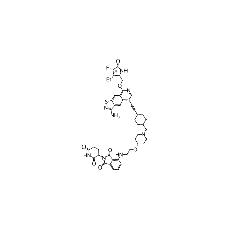 CCC1C(COc2ncc(C#CC3CCC(CN4CCC(OCCNc5cccc6c5C(=O)N(C5CCC(=O)NC5=O)C6=O)CC4)CC3)c3cc4c(N)nsc4cc23)NC(=O)[C@H]1F